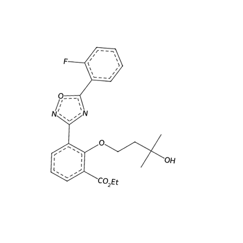 CCOC(=O)c1cccc(-c2noc(-c3ccccc3F)n2)c1OCCC(C)(C)O